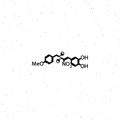 COc1ccc(CS(=O)(=O)C(=Cc2ccc(O)c(O)c2)[N+](=O)[O-])cc1